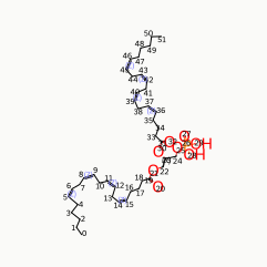 CCCCC/C=C\C/C=C\C/C=C\C/C=C\CCCC(=O)OC[C@H](COP(=O)(O)O)OC(=O)CCC/C=C\C/C=C\C/C=C\C/C=C\CCCCC